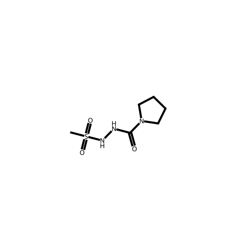 CS(=O)(=O)NNC(=O)N1CCCC1